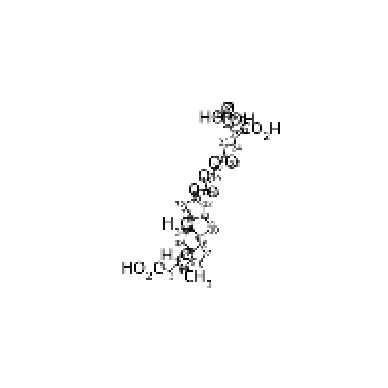 C[C@H](CCC(=O)O)C1CCC2C3CCC4C[C@H](OC(=O)OCOC(=O)CCC(CP(=O)(O)O)C(=O)O)CC[C@]4(C)C3CC[C@@]21C